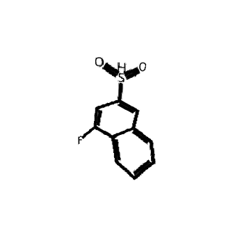 O=[SH](=O)c1cc(F)c2ccccc2c1